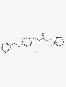 C[N+]1(CCC(=O)CCc2ccc(OCc3ccccc3)cc2)CCCCC1.[I-]